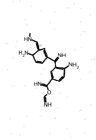 CN/C=C1/C=C(C(=N)c2cc(C(=N)OC=N)ccc2N)C=CC1N